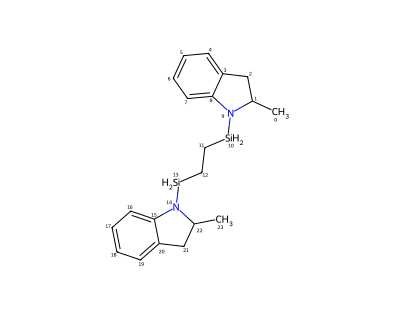 CC1Cc2ccccc2N1[SiH2]CC[SiH2]N1c2ccccc2CC1C